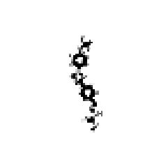 CSC(=S)NN=Cc1ccc(-c2ncn(-c3ccc(OC(F)(F)F)cc3)n2)cc1